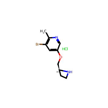 Cc1ncc(OC[C@@H]2CCN2)cc1Br.Cl